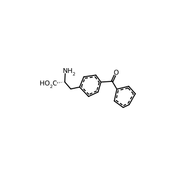 N[C@H](Cc1ccc(C(=O)c2ccccc2)cc1)C(=O)O